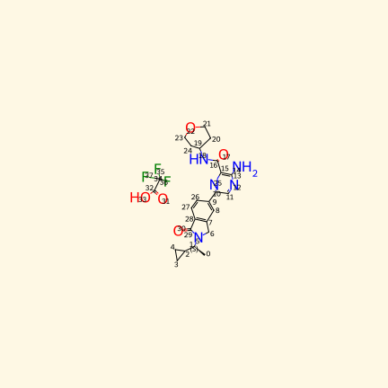 C[C@@H](C1CC1)N1Cc2cc(-c3cnc(N)c(C(=O)NC4CCOCC4)n3)ccc2C1=O.O=C(O)C(F)(F)F